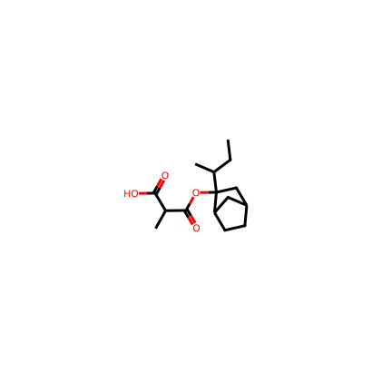 CCC(C)C1(OC(=O)C(C)C(=O)O)CC2CCC1C2